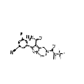 CC(C)(C)NC(=O)N1CCn2nc(-c3cc(F)cc(C#N)c3)c(C(N)=O)c2C1